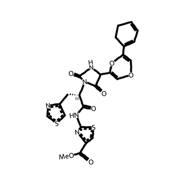 COC(=O)c1csc(NC(=O)[C@H](Cc2cscn2)N2C(=O)NC(C3=COC=C(C4=CC=CCC4)O3)C2=O)n1